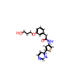 O=C(Cc1cccc(OCCCO)c1)Nc1csc(-c2ccncn2)c1